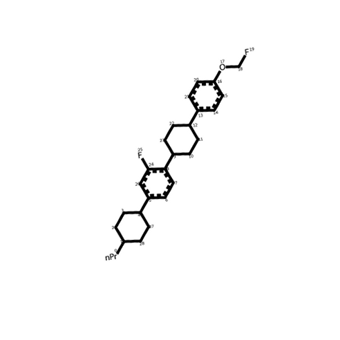 CCCC1CCC(c2ccc(C3CCC(c4ccc(OCF)cc4)CC3)c(F)c2)CC1